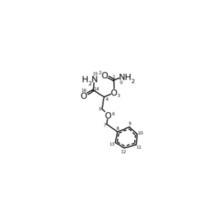 NC(=O)OC(COCc1ccccc1)C(N)=O